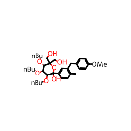 CCCCOC1[C@@H](OCCCC)[C@H](OCCCC)C(CO)(CO)OC1(O)c1ccc(C)c(Cc2ccc(OC)cc2)c1